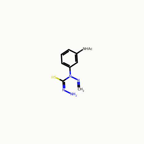 C=NN(/C(S)=N\N)c1cccc(NC(C)=O)c1